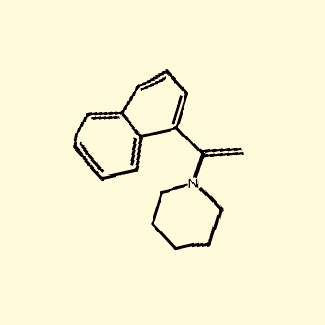 C=C(c1cccc2ccccc12)N1CCCCC1